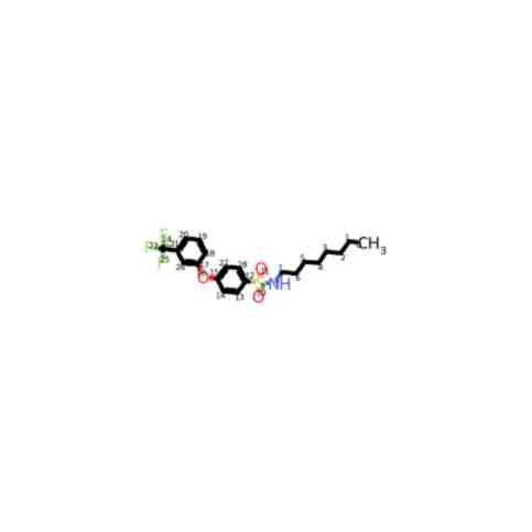 CCCCCCCCNS(=O)(=O)c1ccc(Oc2cccc(C(F)(F)F)c2)cc1